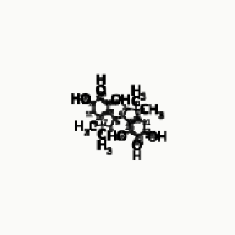 CC1(C)CC(C2CC(C)(C)c3cc(O)c(O)c(O)c32)c2c1cc(O)c(O)c2O